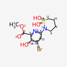 COC(=O)c1nc(N2CCCCS2(O)O)cc(Br)c1O